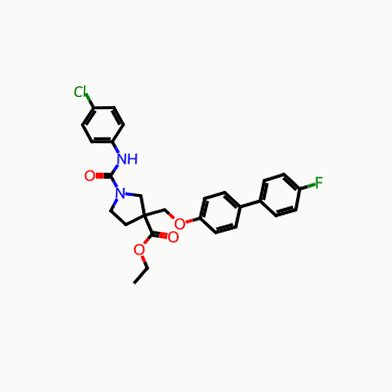 CCOC(=O)C1(COc2ccc(-c3ccc(F)cc3)cc2)CCN(C(=O)Nc2ccc(Cl)cc2)C1